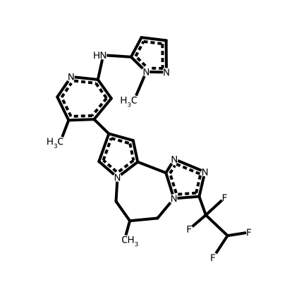 Cc1cnc(Nc2ccnn2C)cc1-c1cc2n(c1)CC(C)Cn1c-2nnc1C(F)(F)C(F)F